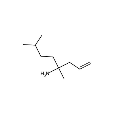 C=CCC(C)(N)CCC(C)C